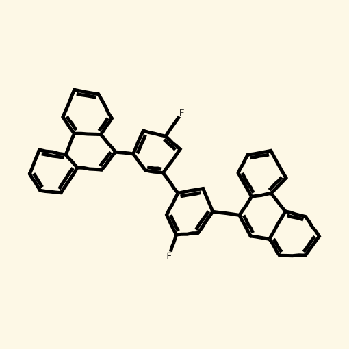 Fc1cc(-c2cc(F)cc(-c3cc4ccccc4c4ccccc34)c2)cc(-c2cc3ccccc3c3ccccc23)c1